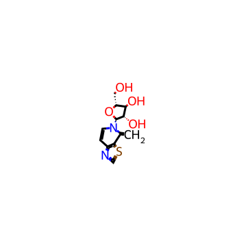 C=C1c2scnc2C=CN1[C@@H]1O[C@H](CO)C(O)[C@@H]1O